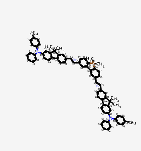 CC(C)(C)c1ccc(N(c2ccccc2)c2ccc3c(c2)C(C)(C)c2cc(/C=C/c4ccc5c(c4)-c4cc(/C=C/c6ccc7c(c6)C(C)(C)c6cc(N(c8ccccc8)c8ccc(C(C)(C)C)cc8)ccc6-7)ccc4S5(C)C)ccc2-3)cc1